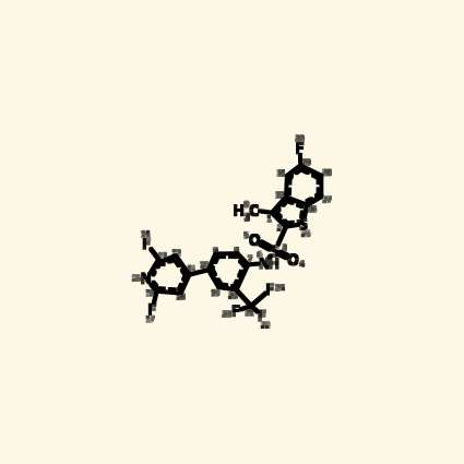 Cc1c(S(=O)(=O)Nc2ccc(-c3cc(F)nc(F)c3)cc2C(F)(F)F)sc2ccc(F)cc12